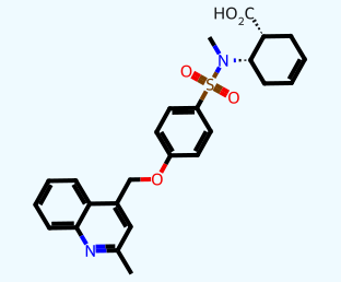 Cc1cc(COc2ccc(S(=O)(=O)N(C)[C@H]3CC=CC[C@H]3C(=O)O)cc2)c2ccccc2n1